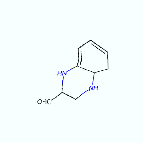 O=CC1CNC2CC=CC=C2N1